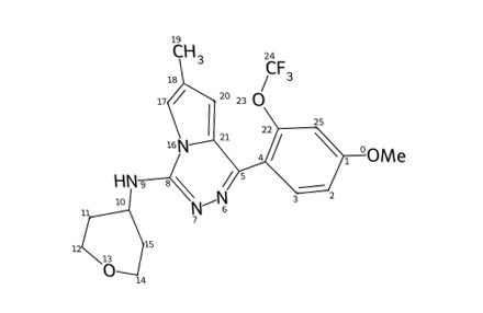 COc1ccc(-c2nnc(NC3CCOCC3)n3cc(C)cc23)c(OC(F)(F)F)c1